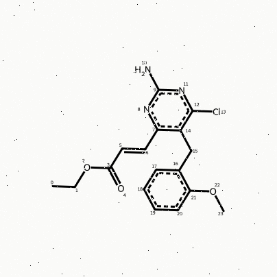 CCOC(=O)/C=C/c1nc(N)nc(Cl)c1Cc1ccccc1OC